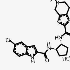 CN1CCc2nc(C(=O)N[C@@H]3CCC[C@H]3NC(=O)c3cc4cc(Cl)ccc4[nH]3)sc2C1.Cl